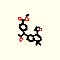 CCOC(=O)c1ccc(C(C(C)=O)c2ccc3c(c2)C(c2ccco2)=CCC3(C)C)cc1